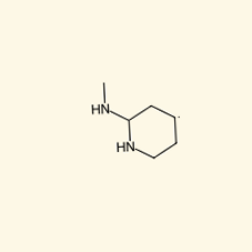 CNC1C[CH]CCN1